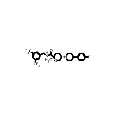 C[C@]1(C(=O)NCc2cc(C(F)(F)F)cc(C(F)(F)F)c2)CC[C@@H](N2CCC(c3ccc(F)cc3)CC2)CO1